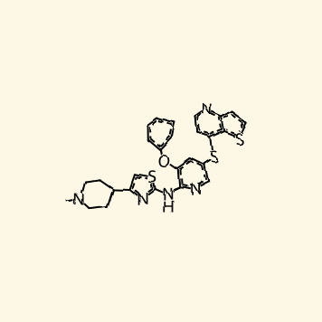 CN1CCC(c2csc(Nc3ncc(Sc4ccnc5ccsc45)cc3Oc3ccccc3)n2)CC1